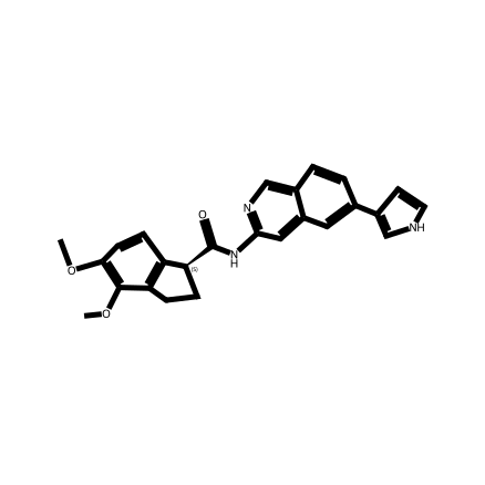 COc1ccc2c(c1OC)CC[C@@H]2C(=O)Nc1cc2cc(-c3cc[nH]c3)ccc2cn1